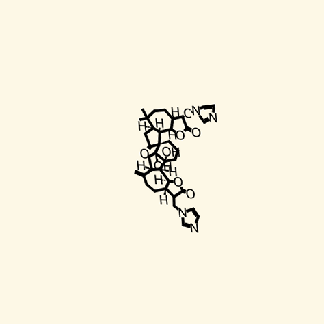 C=C1CC[C@H]2C(Cn3ccnc3)C(=O)O[C@@H]2[C@@H]2[C@H]1C[C@@]1(O)[C@]2(O)CCC[C@]12C(=O)C[C@@H]1[C@H]2[C@H]2OC(=O)C(Cn3ccnc3)[C@@H]2CCC1(C)C